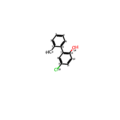 [CH]c1ccccc1-c1cc(Cl)ccc1O